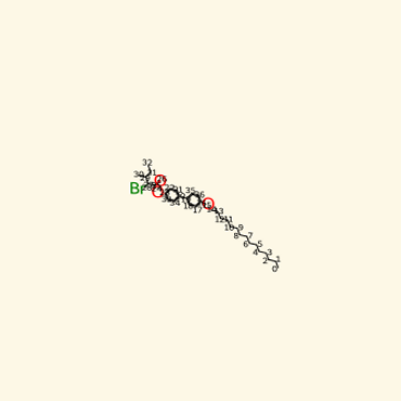 CCCCCCCCCCCCCCCOc1ccc(-c2ccc(OC(=O)C(Br)C(C)CC)cc2)cc1